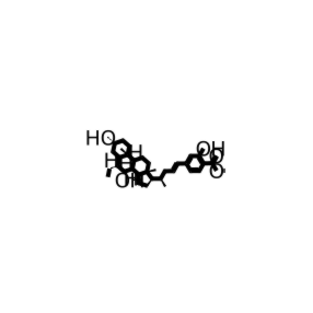 CC[C@H]1[C@@H](O)[C@@H]2[C@H](CC[C@]3(C)[C@@H]([C@H](C)C/C=C/c4ccc(C(=O)OC)c(O)c4)CC[C@@H]23)[C@@]2(C)CC[C@@H](O)C[C@@H]12